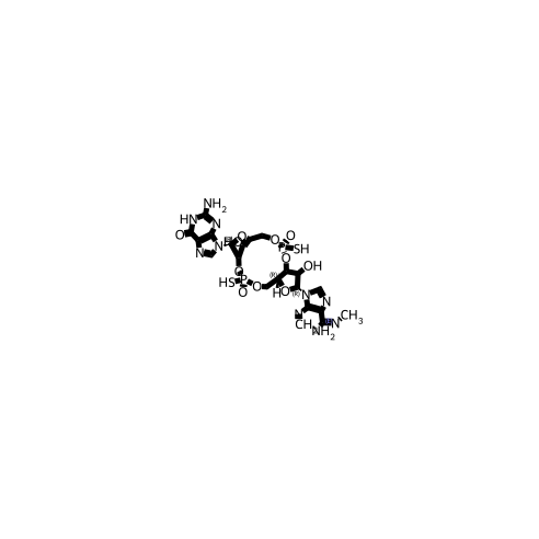 C=Nc1c(/C(N)=N\C)ncn1[C@@H]1O[C@@H]2COP(=O)(S)OC3C(O)=C(COP(=O)(S)OC2C1O)O[C@H]3n1cnc2c(=O)[nH]c(N)nc21